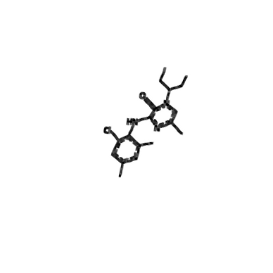 CCC(CC)n1cc(C)nc(Nc2c(C)cc(C)cc2Cl)c1=O